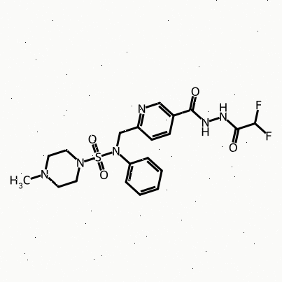 CN1CCN(S(=O)(=O)N(Cc2ccc(C(=O)NNC(=O)C(F)F)cn2)c2ccccc2)CC1